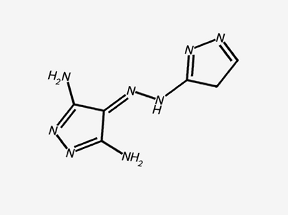 NC1=NN=C(N)C1=NNC1=NN=CC1